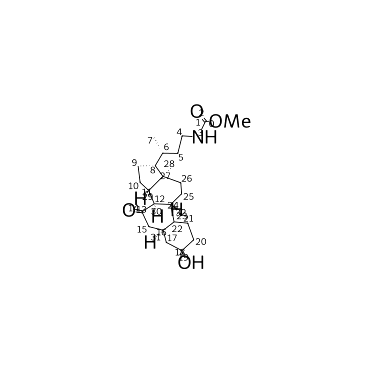 COC(=O)NCC[C@@H](C)[C@H]1CC[C@H]2[C@@H]3C(=O)C[C@@H]4C[C@H](O)CC[C@]4(C)[C@H]3CC[C@]12C